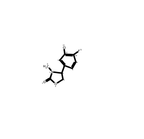 CN1C(=O)OCC1c1ccc(F)c(Cl)c1